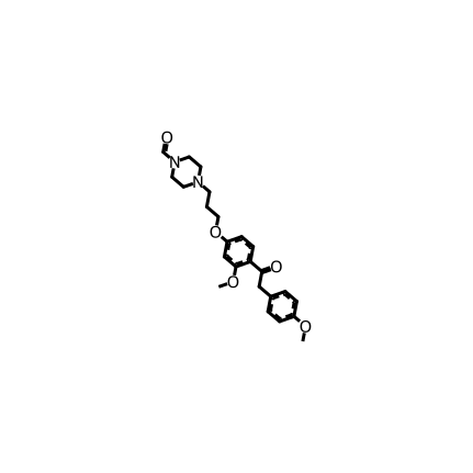 COc1ccc(CC(=O)c2ccc(OCCCN3CCN(C=O)CC3)cc2OC)cc1